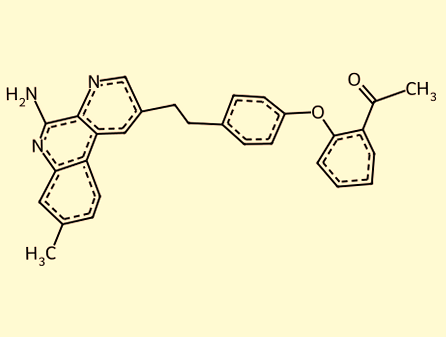 CC(=O)c1ccccc1Oc1ccc(CCc2cnc3c(N)nc4cc(C)ccc4c3c2)cc1